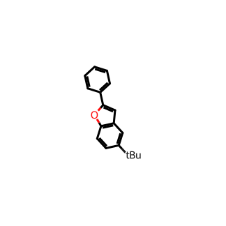 CC(C)(C)c1ccc2oc(-c3ccccc3)cc2c1